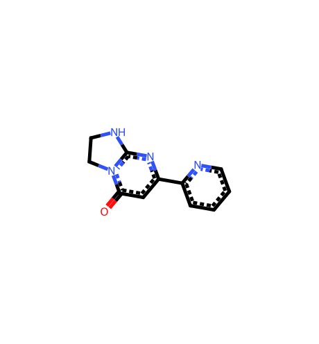 O=c1cc(-c2ccccn2)nc2n1CCN2